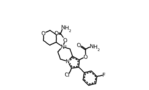 NC(=O)Oc1c(-c2cccc(F)c2)c(Cl)n2c1C[N+](OC(N)=O)(C1CCOCC1)CC2